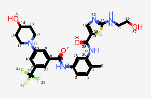 Cc1ccc(NC(=O)c2cc(N3CCC(O)CC3)cc(C(F)(F)F)c2)cc1NC(=O)c1cnc(NCCO)s1